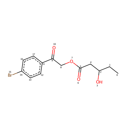 CCC(O)CC(=O)OCC(=O)c1ccc(Br)cc1